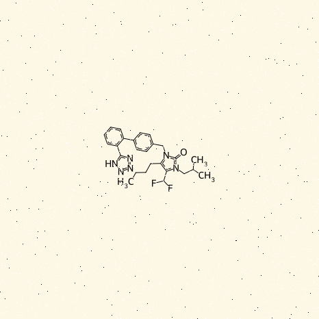 CCCCc1c(C(F)F)n(CC(C)C)c(=O)n1Cc1ccc(-c2ccccc2-c2nnn[nH]2)cc1